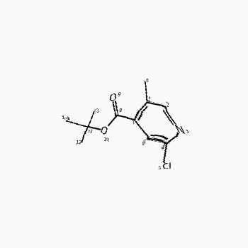 Cc1cnc(Cl)cc1C(=O)OC(C)(C)C